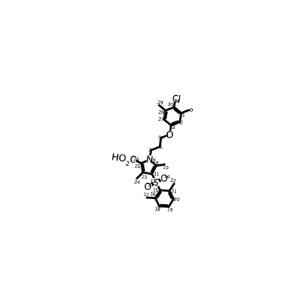 Cc1cc(OCCCn2c(C)c(S(=O)(=O)c3c(C)cccc3C)c(C)c2C(=O)O)cc(C)c1Cl